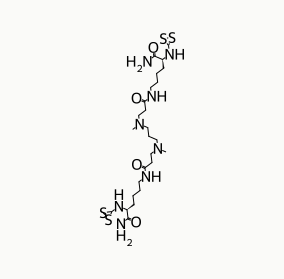 CN(CCCN(C)CCC(=O)NCCCC[C@H](NC1SS1)C(N)=O)CCC(=O)NCCCC[C@H](NC1SS1)C(N)=O